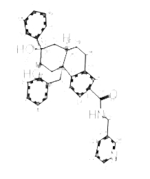 C[C@@]1(O)C[C@@]2(Cc3ccccc3)c3ccc(C(=O)NCc4cccnc4)cc3CC[C@@H]2C[C@@]1(O)c1ccccc1